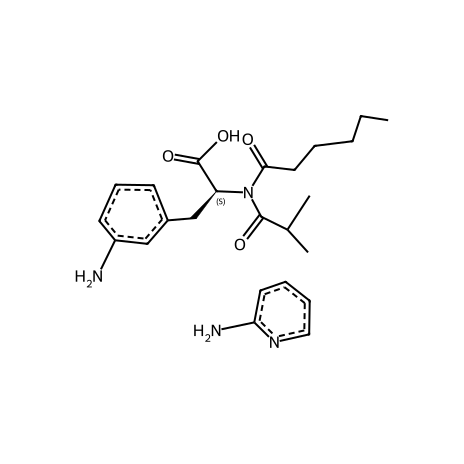 CCCCCC(=O)N(C(=O)C(C)C)[C@@H](Cc1cccc(N)c1)C(=O)O.Nc1ccccn1